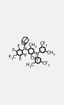 Cc1cc(N(c2cc(C)cc(C(F)(F)F)c2)c2cc(C)c(N(c3c(F)c(F)c(C(F)(F)F)c(F)c3F)C34CC5CC(CC3C5)C4)cc2C)cc(C(F)(F)F)c1